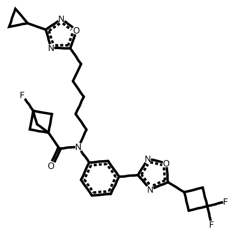 O=C(N(CCCCCc1nc(C2CC2)no1)c1cccc(-c2noc(C3CC(F)(F)C3)n2)c1)C12CC(F)(C1)C2